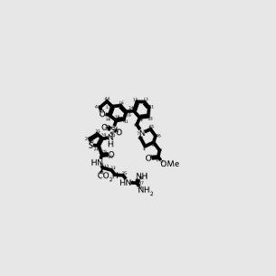 COC(=O)CC1CCN(Cc2ccccc2-c2cc3c(c(S(=O)(=O)Nc4ccsc4C(=O)N[C@@H](CCCNC(=N)N)C(=O)O)c2)OCC3)CC1